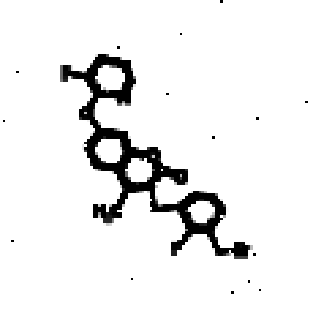 Cc1c(Cc2cccc(CBr)c2F)c(=O)oc2cc(Oc3ncccc3F)ccc12